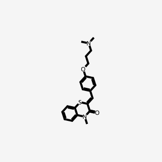 CN(C)CCCOc1ccc(/C=C2\Sc3ccccc3N(C)C2=O)cc1